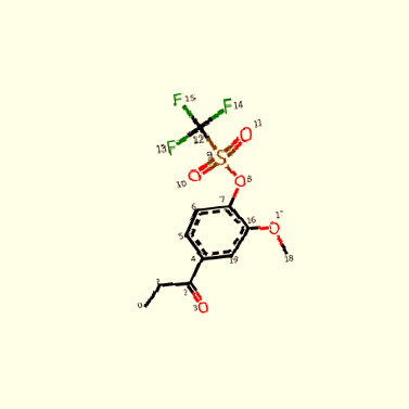 CCC(=O)c1ccc(OS(=O)(=O)C(F)(F)F)c(OC)c1